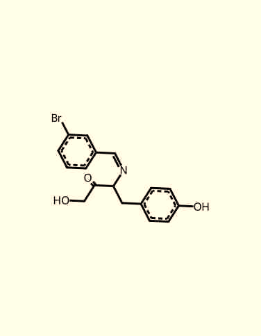 O=C(CO)C(Cc1ccc(O)cc1)/N=C\c1cccc(Br)c1